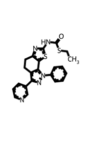 CCSC(=O)Nc1nc2c(s1)-c1c(c(-c3cccnc3)nn1-c1ccccc1)CC2